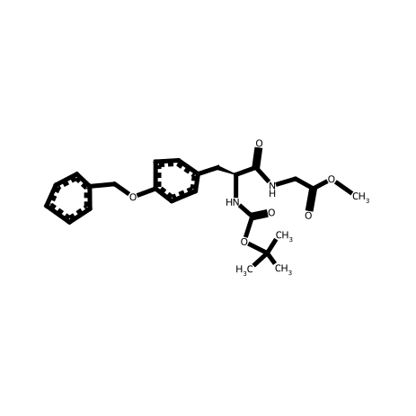 COC(=O)CNC(=O)[C@H](Cc1ccc(OCc2ccccc2)cc1)NC(=O)OC(C)(C)C